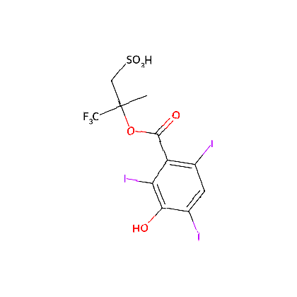 CC(CS(=O)(=O)O)(OC(=O)c1c(I)cc(I)c(O)c1I)C(F)(F)F